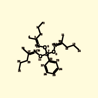 CCCC(C)=NO[Si](ON=C(C)CCC)(ON=C(C)CCC)c1ccccc1